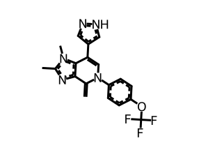 C=C1c2nc(C)n(C)c2C(c2cn[nH]c2)=CN1c1ccc(OC(F)(F)F)cc1